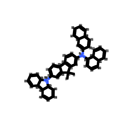 CC1(C)c2cc(N(C3=CC4C=CC=CC4C=C3)C3=CC=CC4C=CC=CC34)ccc2-c2ccc(N3C4C=CC=CC4C4C=CC=CC43)cc21